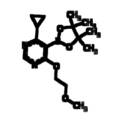 COCCOc1ncnc(C2CC2)c1B1OC(C)(C)C(C)(C)O1